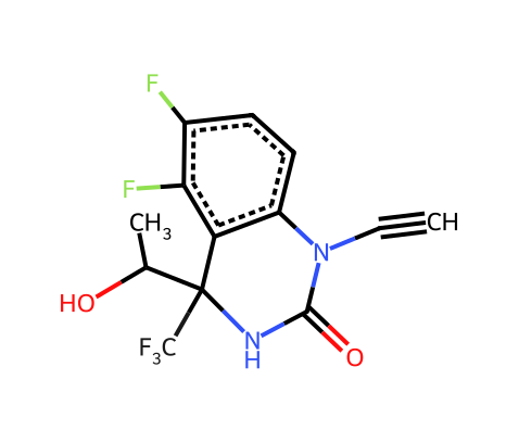 C#CN1C(=O)NC(C(C)O)(C(F)(F)F)c2c1ccc(F)c2F